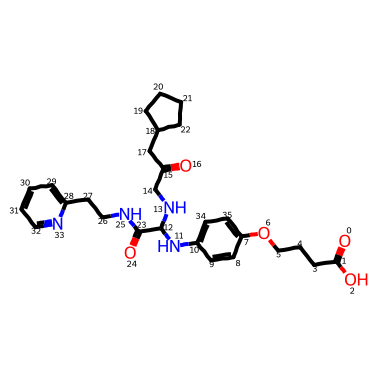 O=C(O)CCCOc1ccc(NC(NCC(=O)CC2CCCC2)C(=O)NCCc2ccccn2)cc1